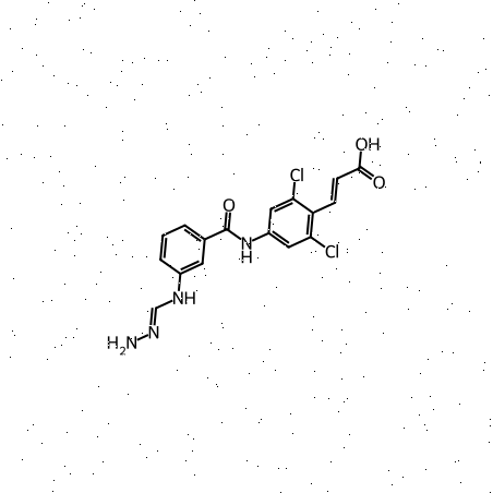 NN=CNc1cccc(C(=O)Nc2cc(Cl)c(C=CC(=O)O)c(Cl)c2)c1